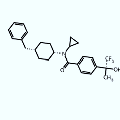 C[C@](O)(c1ccc(C(=O)N(C2CC2)[C@H]2CC[C@@H](Cc3ccccc3)CC2)cc1)C(F)(F)F